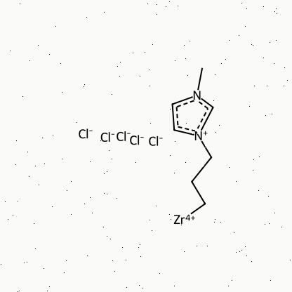 Cn1cc[n+](CC[CH2][Zr+4])c1.[Cl-].[Cl-].[Cl-].[Cl-].[Cl-]